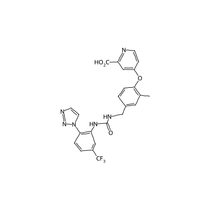 Cc1cc(CNC(=O)Nc2cc(C(F)(F)F)ccc2-n2ccnn2)ccc1Oc1ccnc(C(=O)O)c1